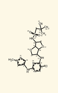 Cn1cc(Nc2ncc(Cl)c(NC3COC4C(NS(=O)(=O)CC(C)(C)C#N)COC34)n2)cn1